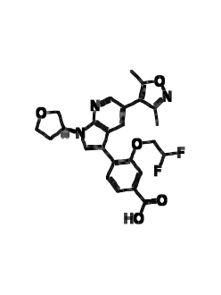 Cc1noc(C)c1-c1cnc2c(c1)c(-c1ccc(C(=O)O)cc1OCC(F)F)cn2[C@H]1CCOC1